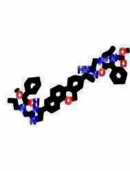 CCCN(Cc1ncc(-c2ccc3c(c2)COc2c-3ccc3cc(-c4cnc(CN(CCC)C(=O)C(OC)c5ccccc5)[nH]4)ccc23)[nH]1)C(=O)C(NC(=O)OC)c1ccccc1